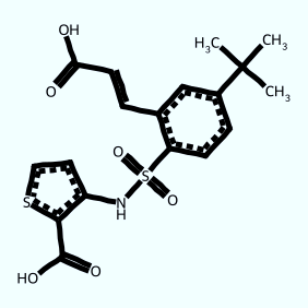 CC(C)(C)c1ccc(S(=O)(=O)Nc2ccsc2C(=O)O)c(C=CC(=O)O)c1